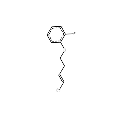 CCC=CCCOc1ccc[c]c1F